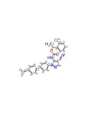 CC(OC(=O)Nc1c(C#N)cnn1-c1ccc(-c2ccc(C3CC3)cc2)cc1)c1ccccc1Cl